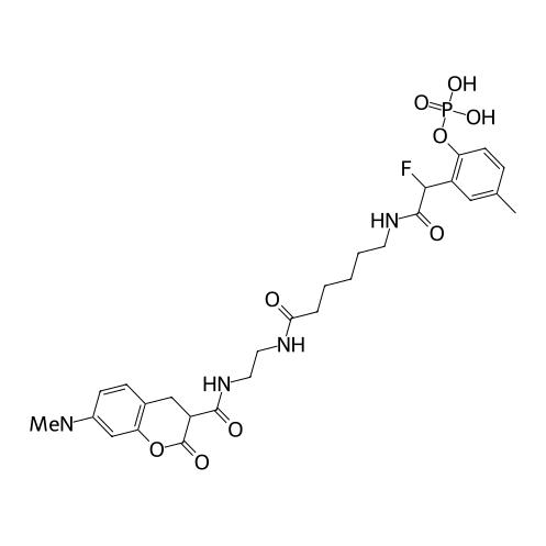 CNc1ccc2c(c1)OC(=O)C(C(=O)NCCNC(=O)CCCCCNC(=O)C(F)c1cc(C)ccc1OP(=O)(O)O)C2